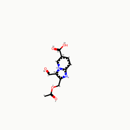 CC(=O)OCc1nc2ccc(C(=O)O)cn2c1C=O